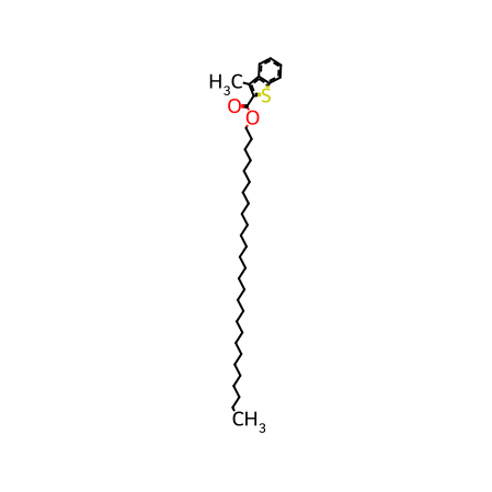 CCCCCCCCCCCCCCCCCCCCCCCCCCCCOC(=O)c1sc2ccccc2c1C